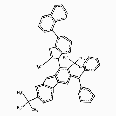 CC1=Cc2c(-c3cccc4ccccc34)cccc2C1c1c(C(C)(C)C)c(=C(c2ccccc2)c2ccccc2)cc2c1=[C]c1cc(C(C)(C)C)ccc1-2